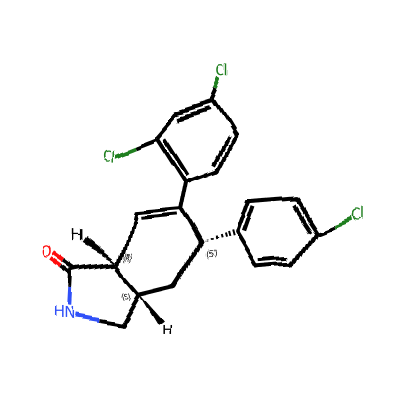 O=C1NC[C@H]2C[C@@H](c3ccc(Cl)cc3)C(c3ccc(Cl)cc3Cl)=C[C@@H]12